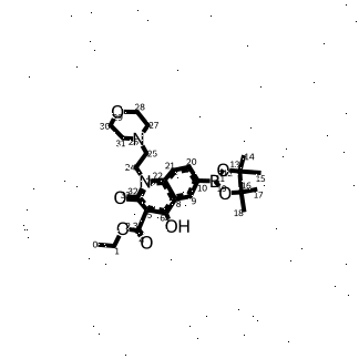 CCOC(=O)c1c(O)c2cc(B3OC(C)(C)C(C)(C)O3)ccc2n(CCN2CCOCC2)c1=O